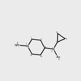 CCCN1CCC(N(C(C)=O)C2CC2)CC1